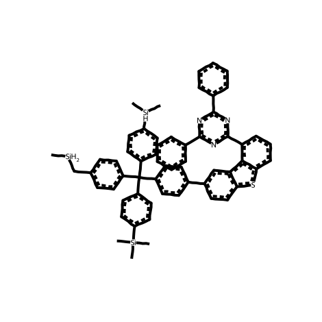 C[SiH2]Cc1ccc(C(c2ccc(-c3ccc4sc5cccc(-c6nc(-c7ccccc7)nc(-c7ccccc7)n6)c5c4c3)cc2)(c2ccc([SiH](C)C)cc2)c2ccc([Si](C)(C)C)cc2)cc1